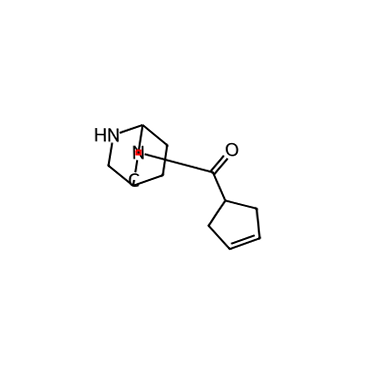 O=C(C1CC=CC1)N1CC2CCC(C1)NC2